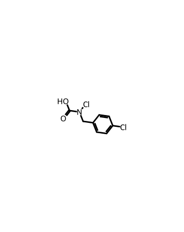 O=C(O)N(Cl)Cc1ccc(Cl)cc1